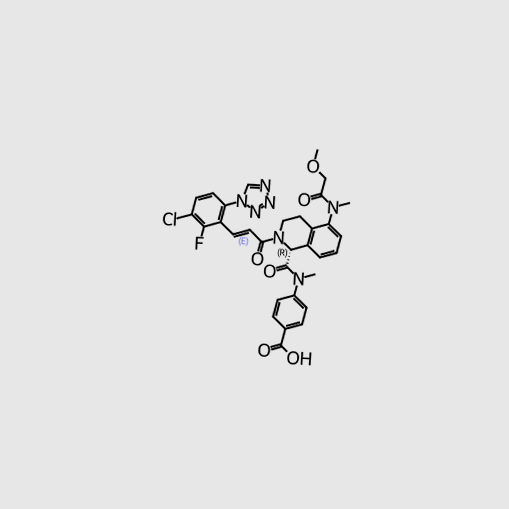 COCC(=O)N(C)c1cccc2c1CCN(C(=O)/C=C/c1c(-n3cnnn3)ccc(Cl)c1F)[C@H]2C(=O)N(C)c1ccc(C(=O)O)cc1